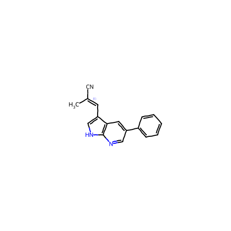 C/C(C#N)=C\c1c[nH]c2ncc(-c3ccccc3)cc12